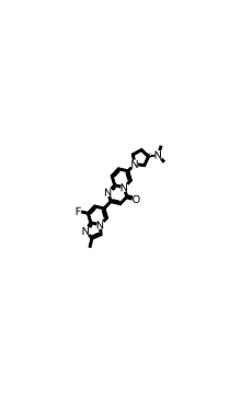 Cc1cn2cc(-c3cc(=O)n4cc(N5CC[C@@H](N(C)C)C5)ccc4n3)cc(F)c2n1